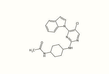 CC(=O)NC1CCC(Nc2ncc(Cl)c(-n3ccc4ccccc43)n2)CC1